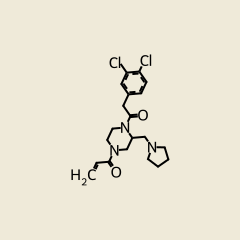 C=CC(=O)N1CCN(C(=O)Cc2ccc(Cl)c(Cl)c2)C(CN2CCCC2)C1